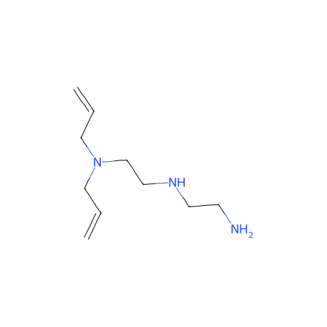 C=CCN(CC=C)CCNCCN